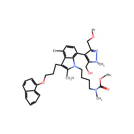 CCc1ccc(-c2c(COC(C)C)nn(C)c2CO)c2c1c(CCCOc1cccc3ccccc13)c(C(=O)O)n2CCCCN(C)C(=O)OC(C)(C)C